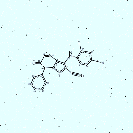 N#Cc1sc2c(c1Nc1ccc(F)cc1F)N=CC(=O)C2c1ccccc1